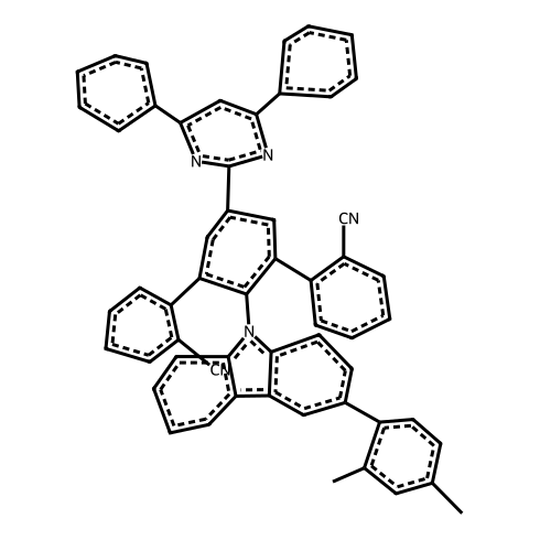 Cc1ccc(-c2ccc3c(c2)c2ccccc2n3-c2c(-c3ccccc3C#N)cc(-c3nc(-c4ccccc4)cc(-c4ccccc4)n3)cc2-c2ccccc2C#N)c(C)c1